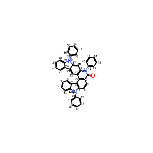 O=c1c2ccc3c(c4ccccc4n3-c3ccccc3)c2c2cc3c4ccccc4n(-c4ccccc4)c3cc2n1-c1ccccc1